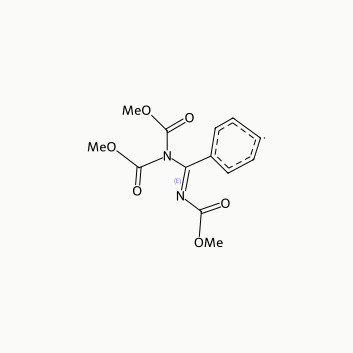 COC(=O)/N=C(\c1cc[c]cc1)N(C(=O)OC)C(=O)OC